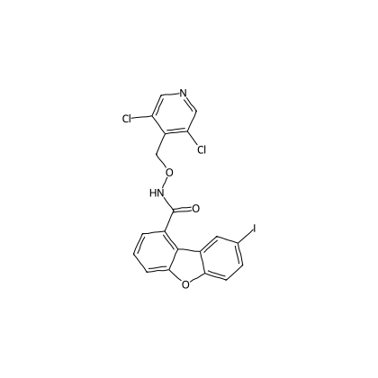 O=C(NOCc1c(Cl)cncc1Cl)c1cccc2oc3ccc(I)cc3c12